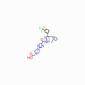 CCC1CCCN1Cc1sc(NC(=O)c2cnc(N3CCN(CC(=O)O)CC3)cn2)nc1-c1cccc(C(F)(F)F)c1